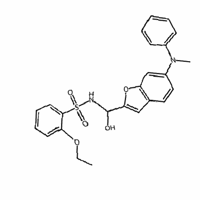 CCOc1ccccc1S(=O)(=O)NC(O)c1cc2ccc(N(C)c3ccccc3)cc2o1